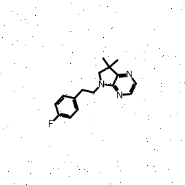 CC1(C)CN(CCc2ccc(F)cc2)c2nccnc21